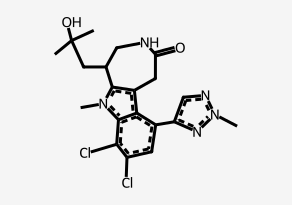 Cn1ncc(-c2cc(Cl)c(Cl)c3c2c2c(n3C)C(CC(C)(C)O)CNC(=O)C2)n1